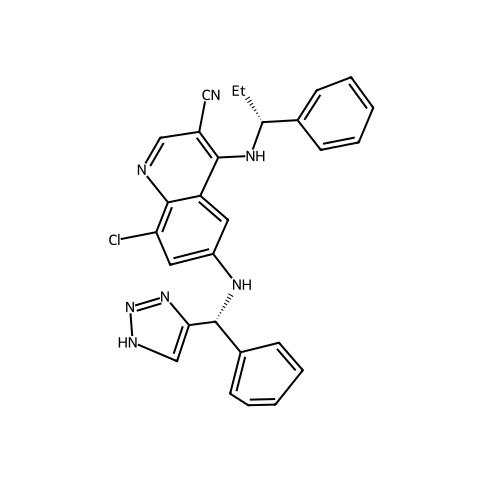 CC[C@@H](Nc1c(C#N)cnc2c(Cl)cc(N[C@H](c3ccccc3)c3c[nH]nn3)cc12)c1ccccc1